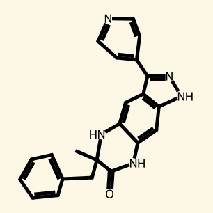 CC1(Cc2ccccc2)Nc2cc3c(-c4ccncc4)n[nH]c3cc2NC1=O